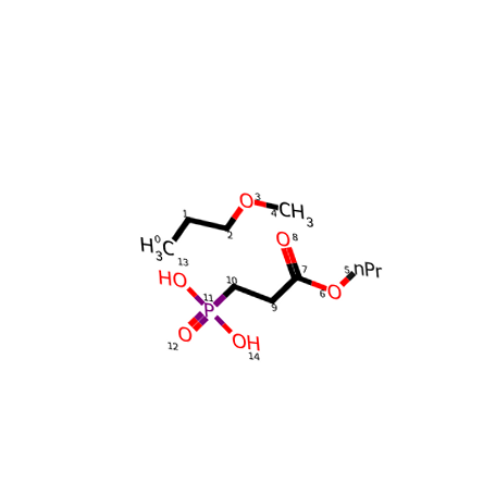 CCCOC.CCCOC(=O)CCP(=O)(O)O